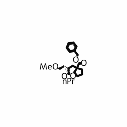 CCCOC(=O)[C@H](CCOC)CC1(C(=O)OCc2ccccc2)CCCC1